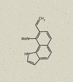 C=Cc1ccc2ccc3cc[nH]c3c2c1NC